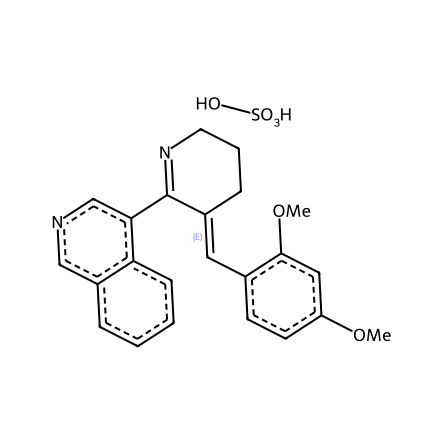 COc1ccc(/C=C2\CCCN=C2c2cncc3ccccc23)c(OC)c1.O=S(=O)(O)O